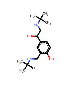 CC(C)(C)NCc1cc(C(O)CNC(C)(C)C)ccc1O